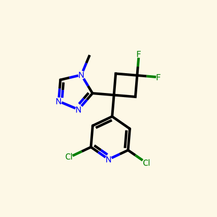 Cn1cnnc1C1(c2cc(Cl)nc(Cl)c2)CC(F)(F)C1